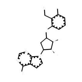 Cc1ncnc2c1ccn2C1CC(Oc2cccc(C(F)(F)F)c2CN)[C@@H](O)[C@H]1O